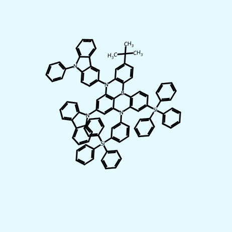 CC(C)(C)c1ccc2c(c1)N(c1ccc3c(c1)c1ccccc1n3-c1ccccc1)c1cc(-n3c4ccccc4c4ccccc43)cc3c1B2c1ccc([Si](c2ccccc2)(c2ccccc2)c2ccccc2)cc1N3c1cccc([Si](c2ccccc2)(c2ccccc2)c2ccccc2)c1